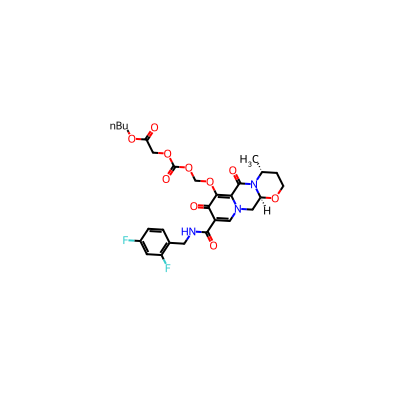 CCCCOC(=O)COC(=O)OCOc1c2n(cc(C(=O)NCc3ccc(F)cc3F)c1=O)C[C@@H]1OCC[C@@H](C)N1C2=O